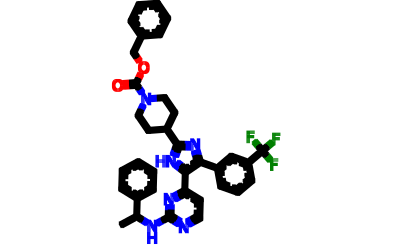 CC(Nc1nccc(-c2[nH]c(C3CCN(C(=O)OCc4ccccc4)CC3)nc2-c2cccc(C(F)(F)F)c2)n1)c1ccccc1